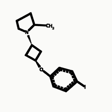 CC1CCCN1[C@H]1C[C@H](Oc2ccc(I)cc2)C1